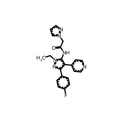 CCn1nc(-c2ccc(F)cc2)c(-c2ccncc2)c1NC(=O)Cn1cccn1